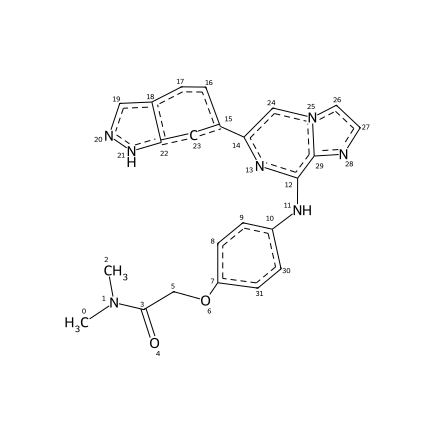 CN(C)C(=O)COc1ccc(Nc2nc(-c3ccc4cn[nH]c4c3)cn3ccnc23)cc1